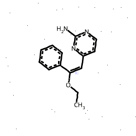 CCO/C(=C/c1ccnc(N)n1)c1ccccc1